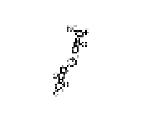 N#Cc1cc(F)cc(N2Cc3ccc(CN4CCC(c5ccc6c(c5)CN(C5CCC(=O)NC5=O)C6=O)CC4)cc3C2=O)c1